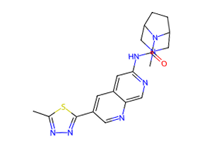 Cc1nnc(-c2cnc3cnc(NC(=O)N4C5CCC4CN(C)C5)cc3c2)s1